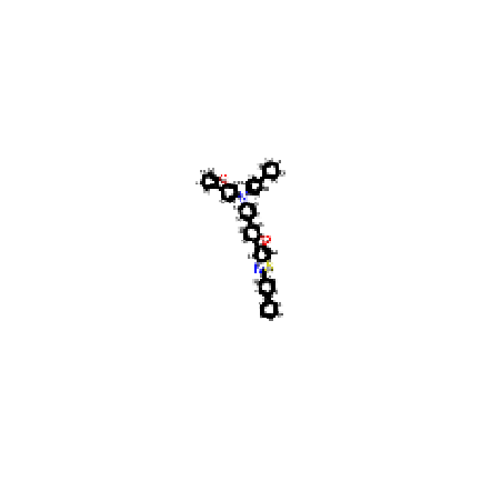 c1ccc(-c2ccc(-c3nc4cc5c(cc4s3)oc3cc(-c4ccc(N(c6ccc(-c7ccccc7)cc6)c6ccc7c(c6)oc6ccccc67)cc4)ccc35)cc2)cc1